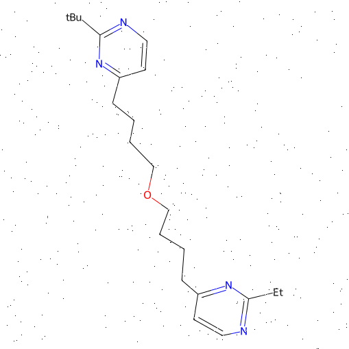 CCc1nccc(CCCCOCCCCc2ccnc(C(C)(C)C)n2)n1